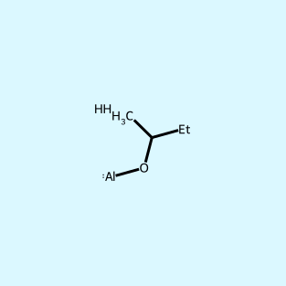 CCC(C)[O][Al].[HH]